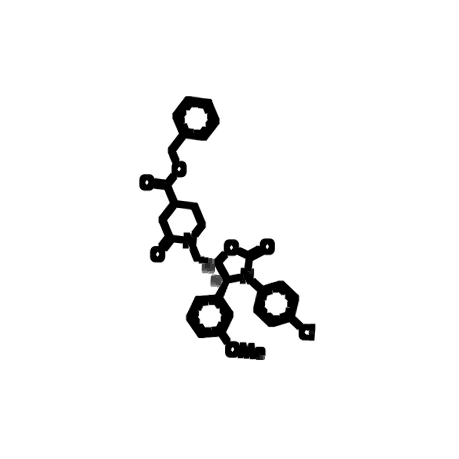 COc1cccc([C@H]2[C@H](CN3CCC(C(=O)OCc4ccccc4)CC3=O)OC(=O)N2c2ccc(Cl)cc2)c1